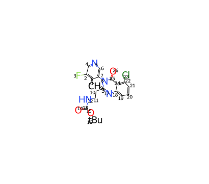 Cc1c(F)cncc1-n1c(CCNC(=O)OC(C)(C)C)nc2cccc(Cl)c2c1=O